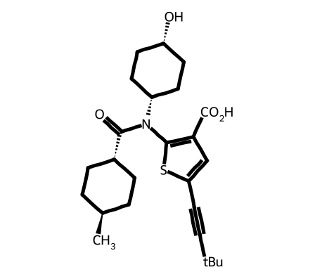 CC(C)(C)C#Cc1cc(C(=O)O)c(N(C(=O)[C@H]2CC[C@H](C)CC2)[C@H]2CC[C@@H](O)CC2)s1